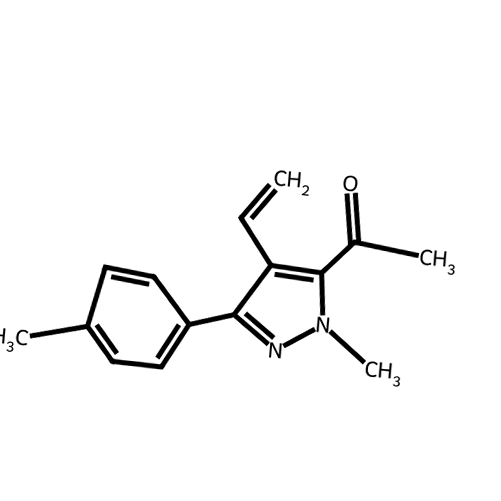 C=Cc1c(-c2ccc(C)cc2)nn(C)c1C(C)=O